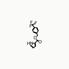 O=C(OCc1ccc(C(F)(F)F)cc1)c1ccc[nH]1